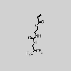 C=CC(=O)OCCNC(=O)NCC(C(F)(F)F)C(F)(F)F